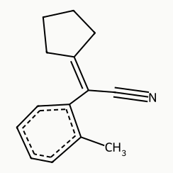 Cc1ccccc1C(C#N)=C1CCCC1